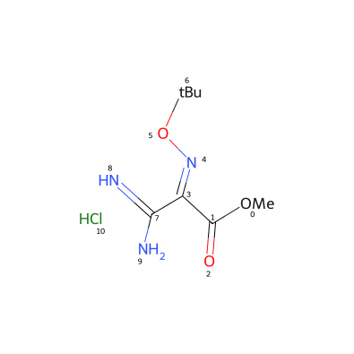 COC(=O)C(=NOC(C)(C)C)C(=N)N.Cl